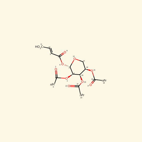 CCCC(=O)O[C@H]1[C@H](OC(=O)/C=C/C(=O)O)OC[C@@H](OC(=O)CCC)[C@H]1OC(=O)CCC